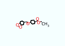 CCOC(=O)c1ccc(OCc2ccc3c(c2)OCO3)cc1